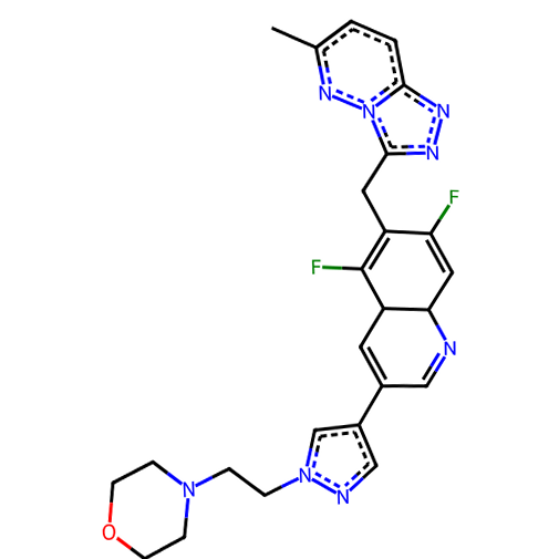 Cc1ccc2nnc(CC3=C(F)C4C=C(c5cnn(CCN6CCOCC6)c5)C=NC4C=C3F)n2n1